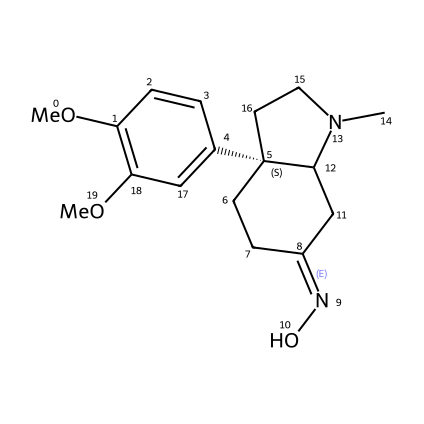 COc1ccc([C@@]23CC/C(=N\O)CC2N(C)CC3)cc1OC